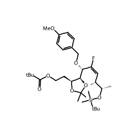 COc1ccc(CO[C@H](/C(F)=C\[C@@H](C)[C@H](C)O[Si](C)(C)C(C)(C)C)[C@H]2OC(C)(C)O[C@H]2CCOC(=O)C(C)(C)C)cc1